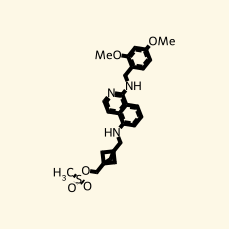 COc1ccc(CNc2nccc3c(NCC45CC(COS(C)(=O)=O)(C4)C5)cccc23)c(OC)c1